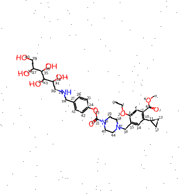 CCOc1cc(C(=O)OC)c(C2CC2)cc1CN1CCN(C(=O)Oc2ccc(CNCC(O)C(O)C(O)C(O)CO)cc2)CC1